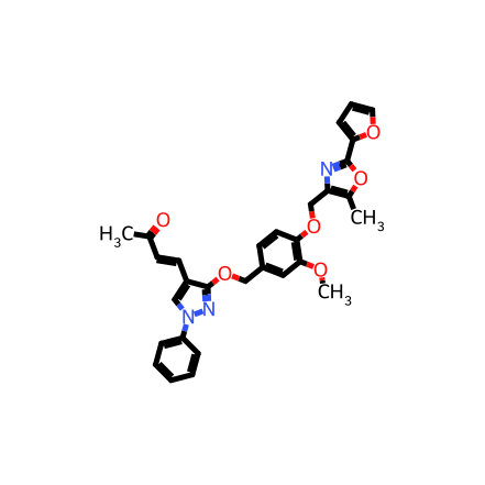 COc1cc(COc2nn(-c3ccccc3)cc2/C=C/C(C)=O)ccc1OCc1nc(-c2ccco2)oc1C